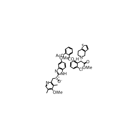 CC(=O)Oc1ccccc1C(=O)O.COC(=O)[C@H](c1ccccc1Cl)N1CCc2sccc2C1.COc1ccc2[nH]c([S+]([O-])Cc3ncc(C)c(OC)c3C)nc2c1